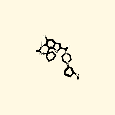 C=C1Nc2c(Cl)cc3cc(C(=O)N4CCN(c5cccc(OC)c5)CC4)oc3c2C2(CCCCC2)N1